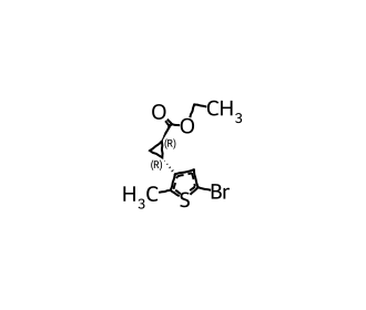 CCOC(=O)[C@@H]1C[C@H]1c1cc(Br)sc1C